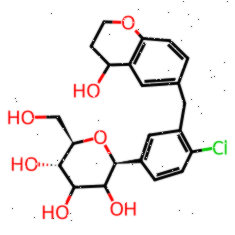 OC[C@H]1O[C@@H](c2ccc(Cl)c(Cc3ccc4c(c3)C(O)CCO4)c2)C(O)C(O)[C@@H]1O